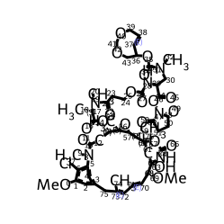 COc1cc2cc(c1Cl)N(C)C(=O)C[C@H](OC(=O)[C@H](C)N(C)C(=O)CCOC(=O)NC(CN(C)C(=O)OC1/C=C/COCOC1)C(=O)ON1C(=O)CCC1=O)[C@]1(C)OC1[C@H](C)[C@@H]1C[C@@](O)(NC(=O)O1)[C@H](OC)/C=C/C=C(\C)C2